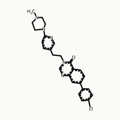 CN1CCN(c2ccc(CCn3cnc4cc(-c5ccc(Cl)cc5)ccc4c3=O)cn2)CC1